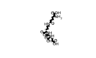 N[C@@H](CCCC(=O)NCCCC[C@H](NC(=O)N[C@@H](CCC(=O)O)C(=O)O)C(=O)O)C(=O)O